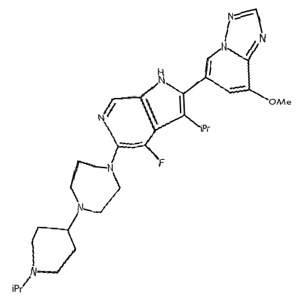 COc1cc(-c2[nH]c3cnc(N4CCN(C5CCN(C(C)C)CC5)CC4)c(F)c3c2C(C)C)cn2ncnc12